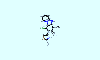 CCc1nc(-c2c(C)c(C#N)c3nc4ccccn4c3c2Cl)cs1